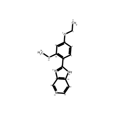 CCOc1ccc(-c2nc3cnccc3[nH]2)c(SC)c1